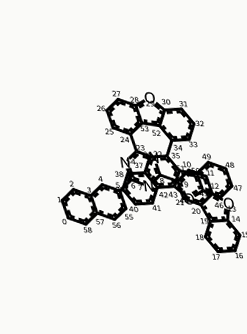 c1ccc2cc(-c3nc(-c4ccc5oc6ccccc6c5c4)nc(-c4cccc5oc6cccc(-c7cc8ccccc8c8oc9ccccc9c78)c6c45)n3)ccc2c1